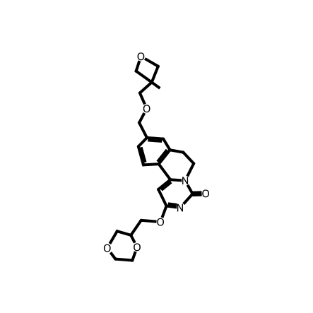 CC1(COCc2ccc3c(c2)CCn2c-3cc(OCC3COCCO3)nc2=O)COC1